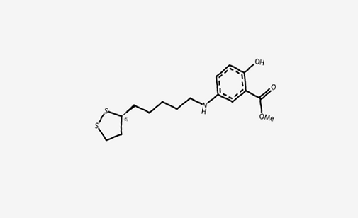 COC(=O)c1cc(NCCCCC[C@H]2CCSS2)ccc1O